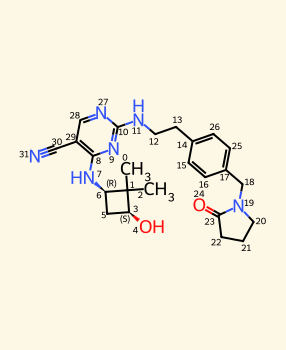 CC1(C)[C@@H](O)C[C@H]1Nc1nc(NCCc2ccc(CN3CCCC3=O)cc2)ncc1C#N